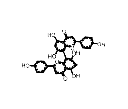 O=c1cc(-c2ccc(O)cc2)oc2c(-c3c(O)cc(O)c4c(=O)cc(-c5ccc(O)cc5)oc34)c(O)cc(O)c12